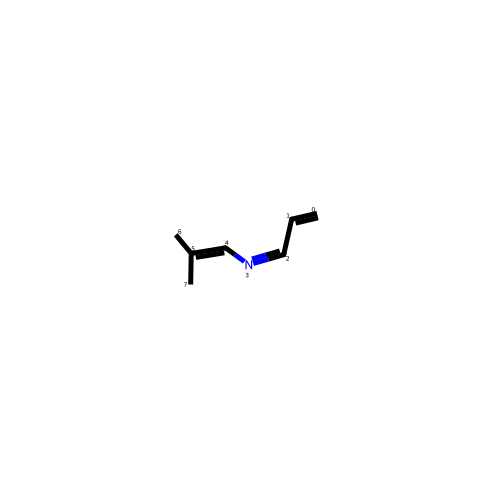 C=C/C=N\C=C(C)C